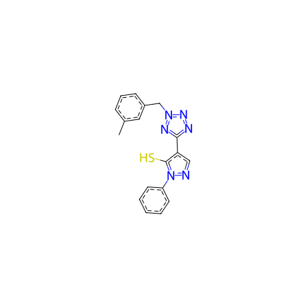 Cc1cccc(Cn2nnc(-c3cnn(-c4ccccc4)c3S)n2)c1